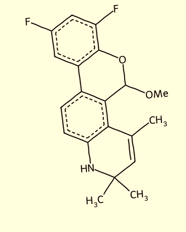 COC1Oc2c(F)cc(F)cc2-c2ccc3c(c21)C(C)=CC(C)(C)N3